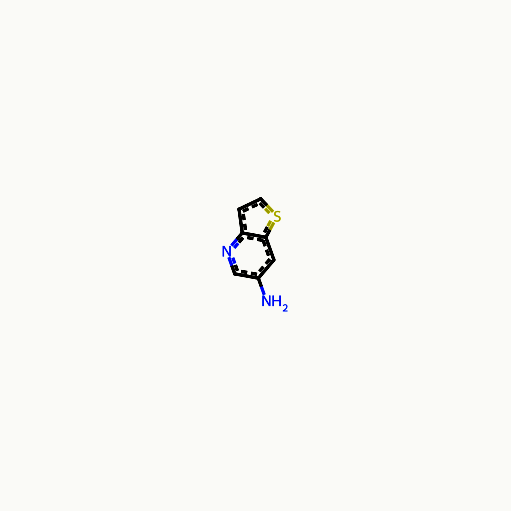 Nc1cnc2ccsc2c1